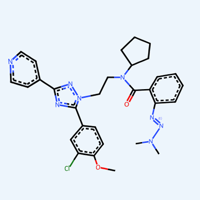 COc1ccc(-c2nc(-c3ccncc3)nn2CCN(C(=O)c2ccccc2/N=N/N(C)C)C2CCCC2)cc1Cl